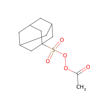 CC(=O)OOS(=O)(=O)C12CC3CC(CC(C3)C1)C2